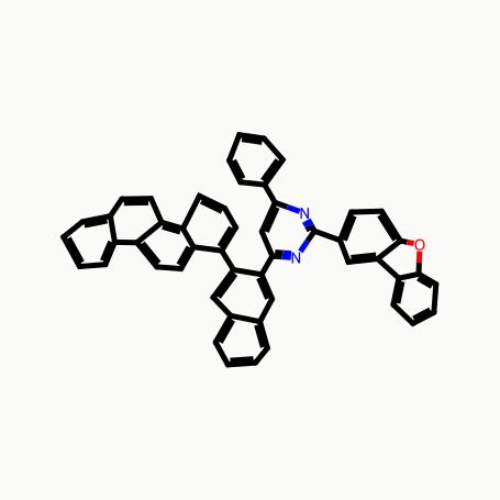 c1ccc(-c2cc(-c3cc4ccccc4cc3-c3cccc4c3ccc3c5ccccc5ccc43)nc(-c3ccc4oc5ccccc5c4c3)n2)cc1